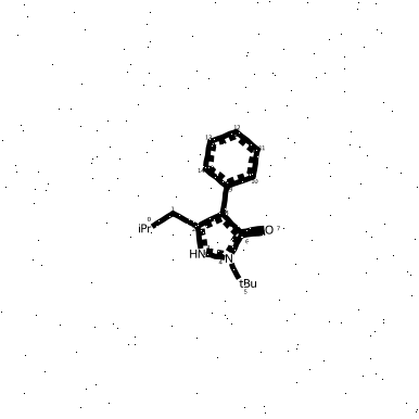 CC(C)Cc1[nH]n(C(C)(C)C)c(=O)c1-c1ccccc1